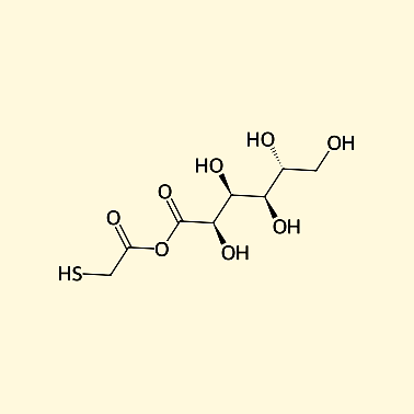 O=C(CS)OC(=O)[C@H](O)[C@@H](O)[C@H](O)[C@H](O)CO